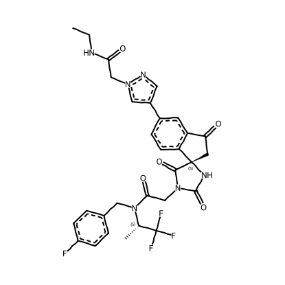 CCNC(=O)Cn1cc(-c2ccc3c(c2)C(=O)C[C@]32NC(=O)N(CC(=O)N(Cc3ccc(F)cc3)[C@@H](C)C(F)(F)F)C2=O)cn1